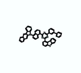 c1ccc(-c2cccc(-c3nc(-c4cccc5c(-n6c7ccccc7c7cc8ccccc8cc76)cccc45)nc(-c4cccc5sc6ccccc6c45)n3)c2)cc1